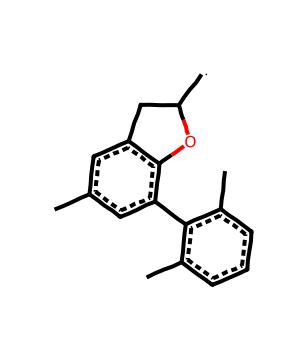 [CH2]C1Cc2cc(C)cc(-c3c(C)cccc3C)c2O1